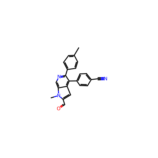 Cc1ccc(-c2ncc3c(cc(C=O)n3C)c2-c2ccc(C#N)cc2)cc1